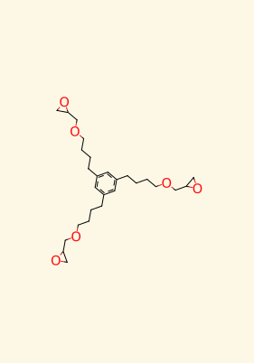 c1c(CCCCOCC2CO2)cc(CCCCOCC2CO2)cc1CCCCOCC1CO1